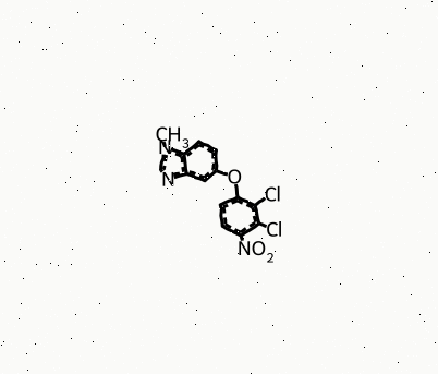 Cn1cnc2cc(Oc3ccc([N+](=O)[O-])c(Cl)c3Cl)ccc21